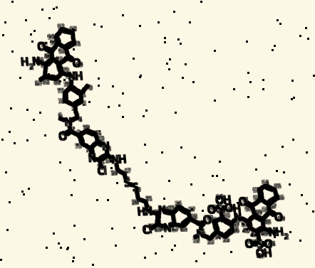 Cc1cc(CN(C)C(=O)c2ccc3nc(NCCSSCCNc4nc5ccc(C(=O)N(C)Cc6ccc(Nc7cc(S(=O)(=O)O)c(N)c8c7C(=O)c7ccccc7C8=O)c(S(=O)(=O)O)c6)cc5nc4Cl)c(Cl)nc3c2)ccc1Nc1cc(C)c(N)c2c1C(=O)c1ccccc1C2=O